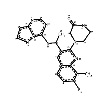 Cc1c(F)ccc2cc(C(C)Nc3ncnc4ccnn34)c(N3CCNC(=O)C3)nc12